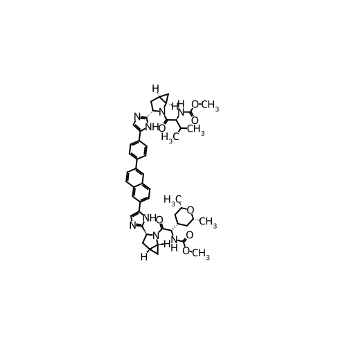 COC(=O)NC(C(=O)N1[C@@H]2C[C@@H]2C[C@H]1c1ncc(-c2ccc3cc(-c4ccc(-c5cnc([C@@H]6C[C@H]7C[C@H]7N6C(=O)[C@@H](NC(=O)OC)C(C)C)[nH]5)cc4)ccc3c2)[nH]1)[C@H]1C[C@@H](C)O[C@@H](C)C1